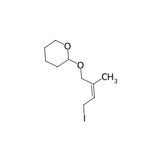 C/C(=C/CI)COC1CCCCO1